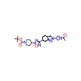 CC(=O)N1CC(n2cc3ccc(-c4noc(C5CCN(C(=O)OC(C)(C)C)CC5)n4)cc3n2)C1